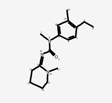 CCc1ccc(N(C)C(=O)N=C2CCCCN2C)cc1C